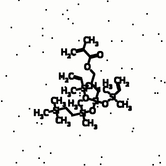 C=C[Si](C)(C)O[Si](CCCOC(=O)C(=C)C)(O[Si](C)(C)C=C)O[Si](C)(C)CC[Si](C)(C)C